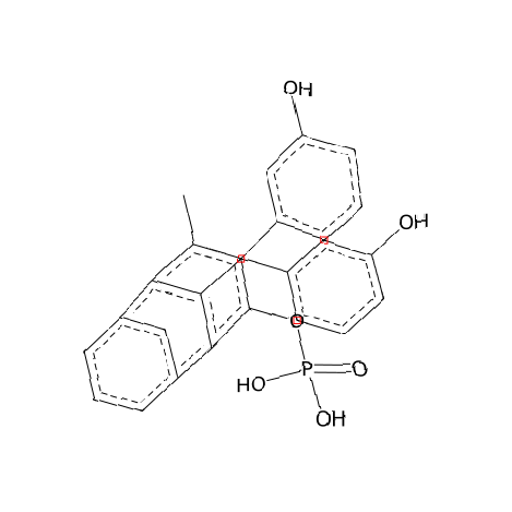 Cc1c(-c2cccc(O)c2)c(OP(=O)(O)O)c2c(Cc3cccc(O)c3)c1c1cccc2c1